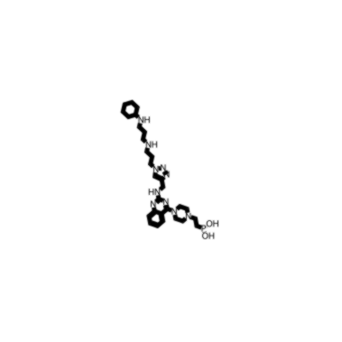 OP(O)CCN1CCN(c2nc(NCc3cn(CCCNCCCNC4CCCCC4)nn3)nc3ccccc23)CC1